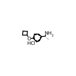 C[C@@H](N)c1ccc(OC2CCC2)cc1.Cl